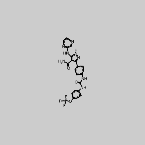 NC(=O)c1c(-c2ccc(NC(=O)Nc3ccc(OC(F)(F)F)cc3)cc2)n[nH]c1Nc1cnccn1